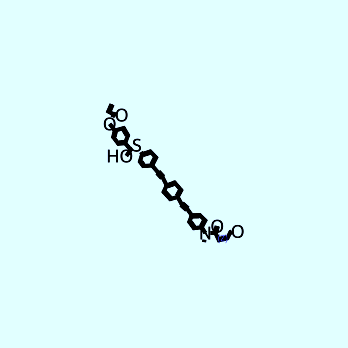 C=CC(=O)Oc1ccc(C(O)Sc2ccc(C#Cc3ccc(C#Cc4ccc(N(C)C(=O)/C=C\C=O)cc4)cc3)cc2)cc1